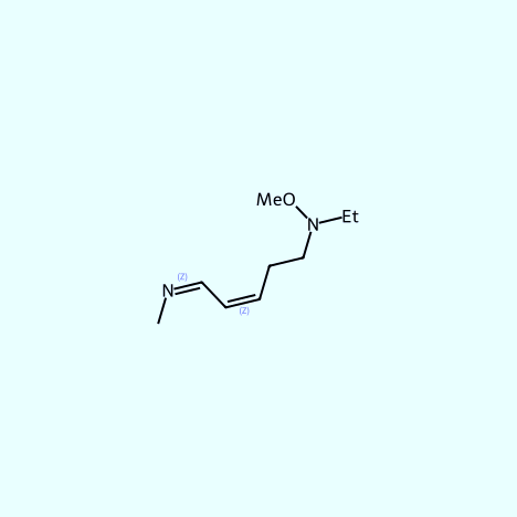 CCN(CC/C=C\C=N/C)OC